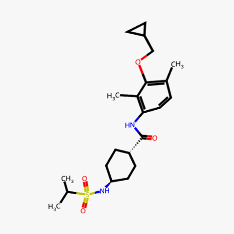 Cc1ccc(NC(=O)[C@H]2CC[C@H](NS(=O)(=O)C(C)C)CC2)c(C)c1OCC1CC1